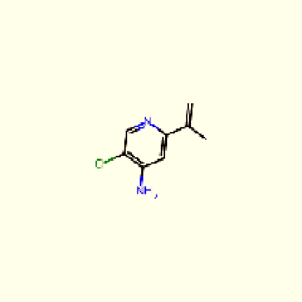 C=C(C)c1cc(N)c(Cl)cn1